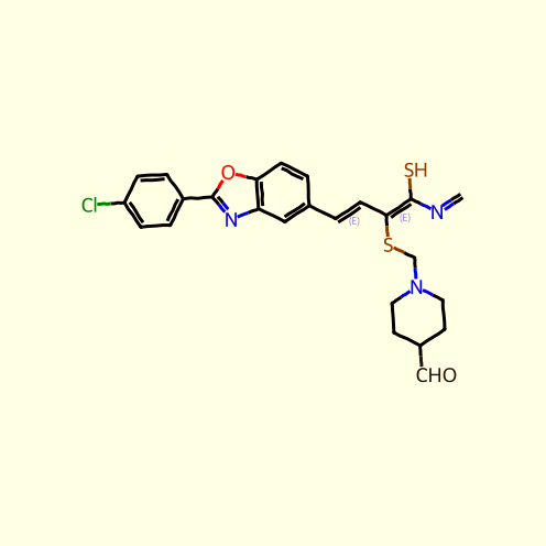 C=N/C(S)=C(/C=C/c1ccc2oc(-c3ccc(Cl)cc3)nc2c1)SCN1CCC(C=O)CC1